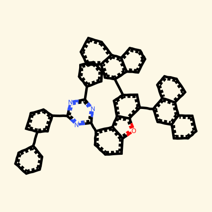 c1ccc(-c2cccc(-c3nc(-c4ccccc4)nc(-c4cccc5oc6c(-c7cc8ccccc8c8ccccc78)cc(-c7cc8ccccc8c8ccccc78)cc6c45)n3)c2)cc1